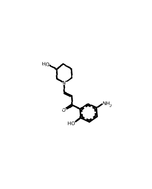 Nc1ccc(O)c(C(=O)C=CN2CCCC(O)C2)c1